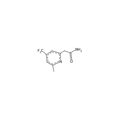 Cc1cc(C(F)(F)F)cc(CC(N)=O)n1